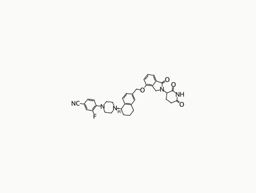 N#Cc1ccc(N2CCN([C@@H]3CCCc4cc(COc5cccc6c5CN(C5CCC(=O)NC5=O)C6=O)ccc43)CC2)c(F)c1